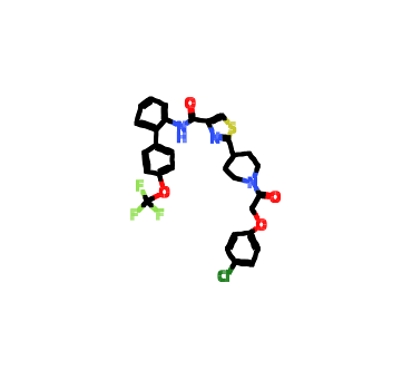 O=C(Nc1ccccc1-c1ccc(OC(F)(F)F)cc1)c1csc(C2CCN(C(=O)COc3ccc(Cl)cc3)CC2)n1